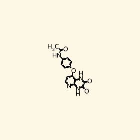 CC(=O)Nc1ccc(Oc2ccnc3[nH]c(=O)c(=O)[nH]c23)cc1